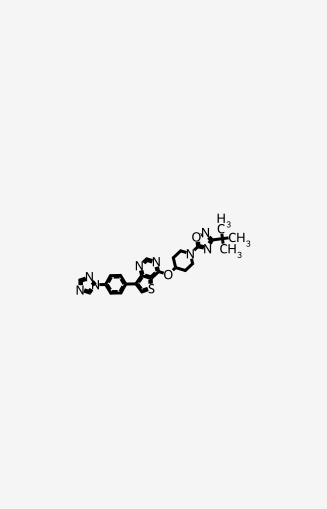 CC(C)(C)c1noc(N2CCC(Oc3ncnc4c(-c5ccc(-n6cncn6)cc5)csc34)CC2)n1